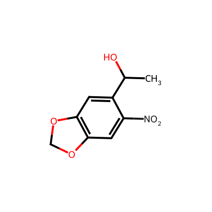 CC(O)c1cc2c(cc1[N+](=O)[O-])OCO2